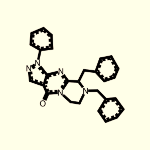 O=c1c2cnn(-c3ccccc3)c2nc2n1CCN(Cc1ccccc1)C2Cc1ccccc1